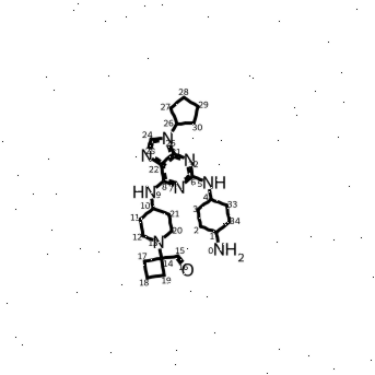 NC1CCC(Nc2nc(NC3CCN(C4(C=O)CCC4)CC3)c3ncn(C4CCCC4)c3n2)CC1